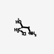 CCl.NCCO